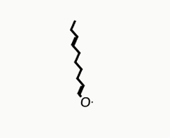 CC/C=C/CCCC/C=C/[O]